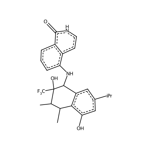 CC(C)c1cc(O)c2c(c1)C(Nc1cccc3c(=O)[nH]ccc13)C(O)(C(F)(F)F)C(C)C2C